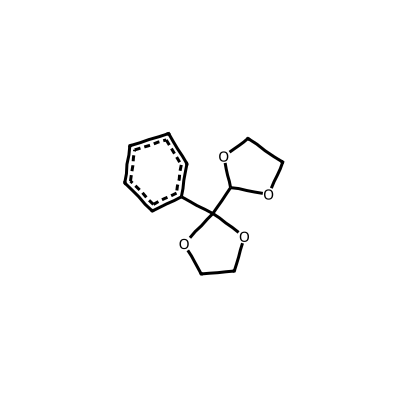 c1ccc(C2(C3OCCO3)OCCO2)cc1